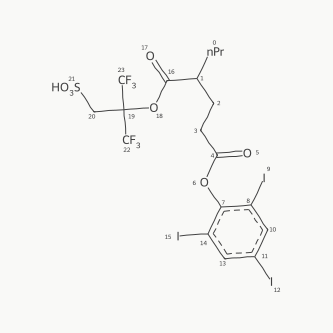 CCCC(CCC(=O)Oc1c(I)cc(I)cc1I)C(=O)OC(CS(=O)(=O)O)(C(F)(F)F)C(F)(F)F